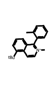 Cc1ccccc1-c1c2cccc(C(C)(C)C)c2cc[n+]1C